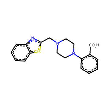 O=C(O)c1ccccc1N1CCN(Cc2nc3ccccc3s2)CC1